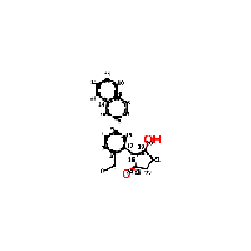 CCc1ccc(-c2ccc3ccccc3c2)cc1C1=C(O)CCC1=O